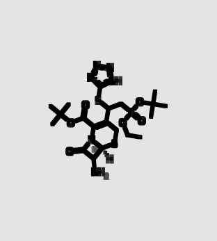 CCOP(=O)(CC(Sc1nnn[nH]1)C1=C(C(=O)OC(C)(C)C)N2C(=O)C(N)[C@@H]2SC1)OC(C)(C)C